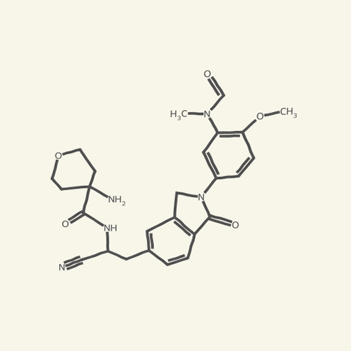 COc1ccc(N2Cc3cc(CC(C#N)NC(=O)C4(N)CCOCC4)ccc3C2=O)cc1N(C)C=O